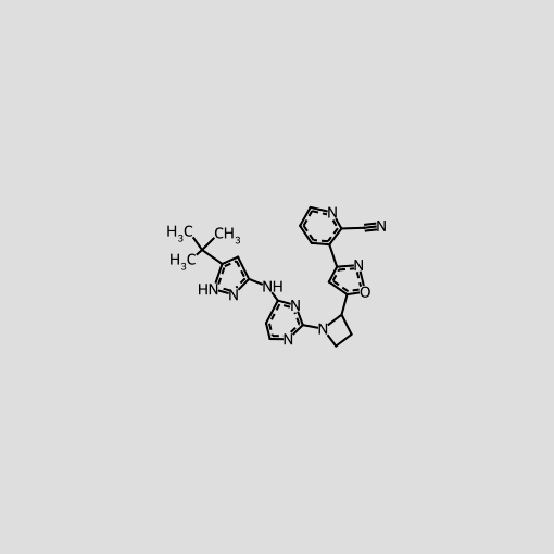 CC(C)(C)c1cc(Nc2ccnc(N3CCC3c3cc(-c4cccnc4C#N)no3)n2)n[nH]1